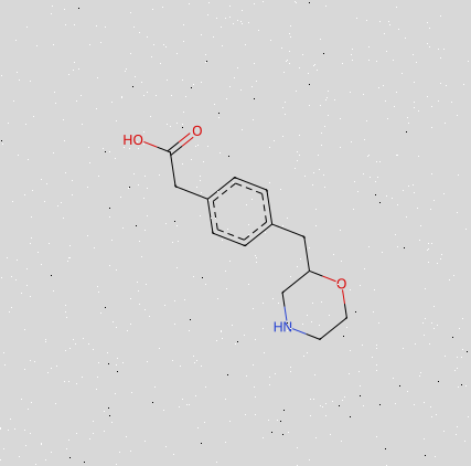 O=C(O)Cc1ccc(CC2CNCCO2)cc1